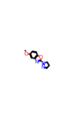 COc1ccc2oc(N3CCC=N3)nc2c1